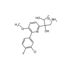 COc1ccc(C(O)(CN)C(C)O)nc1-c1ccc(F)c(Cl)c1